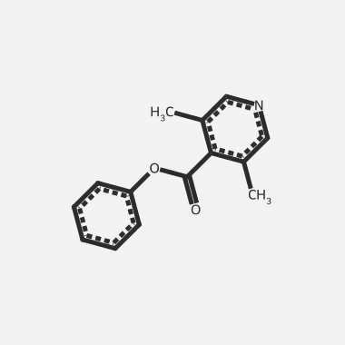 Cc1cncc(C)c1C(=O)Oc1ccccc1